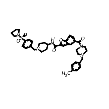 Cc1ccc(CN2CCN(C(=O)c3ccc4oc(C(=O)NC5CCN(Cc6ccc(S(=O)(=O)N7CCCC7)cc6)CC5)cc4c3)CC2)cc1